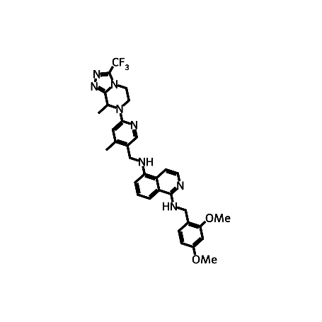 COc1ccc(CNc2nccc3c(NCc4cnc(N5CCn6c(nnc6C(F)(F)F)C5C)cc4C)cccc23)c(OC)c1